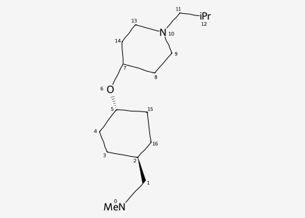 CNC[C@H]1CC[C@H](OC2CCN(CC(C)C)CC2)CC1